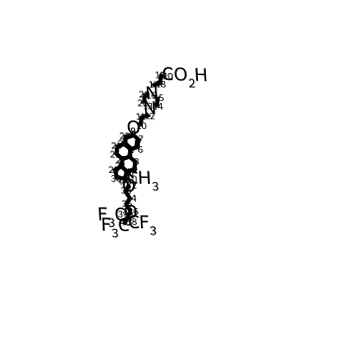 C[C@]12CCC3c4ccc(OCCCN5CCN(CCCC(=O)O)CC5)cc4CCC3C1CC[C@@H]2OCCCOC(C(F)(F)F)(C(F)(F)F)C(F)(F)F